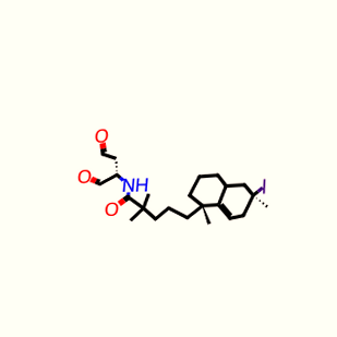 CC(C)(CCC[C@]1(C)CCCC2C[C@@](C)(I)CC=C21)C(=O)N[C@H](C=O)CC=O